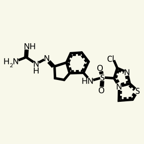 N=C(N)NN=C1CCc2c(NS(=O)(=O)c3c(Cl)nc4sccn34)cccc21